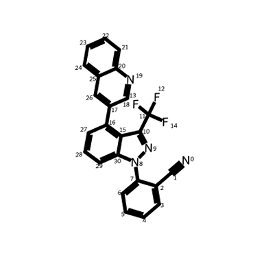 N#Cc1ccccc1-n1nc(C(F)(F)F)c2c(-c3cnc4ccccc4c3)cccc21